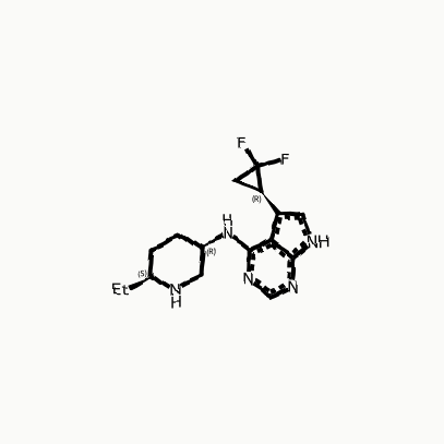 CC[C@H]1CC[C@@H](Nc2ncnc3[nH]cc([C@H]4CC4(F)F)c23)CN1